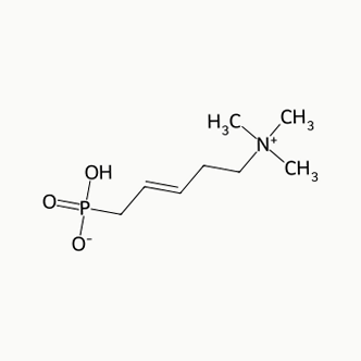 C[N+](C)(C)CCC=CCP(=O)([O-])O